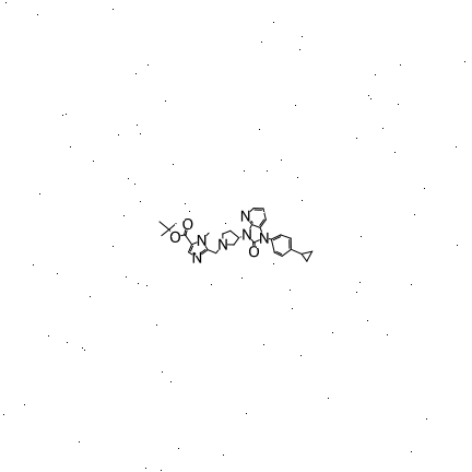 Cn1c(C(=O)OC(C)(C)C)cnc1CN1CC[C@H](n2c(=O)n(-c3ccc(C4CC4)cc3)c3cccnc32)C1